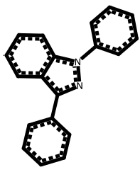 [c]1ccc2c(c1)c(-c1ccccc1)nn2-c1ccccc1